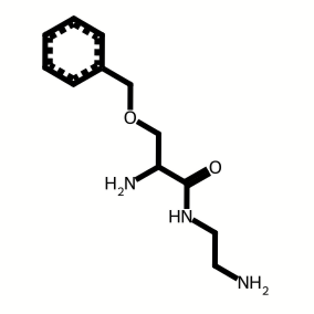 NCCNC(=O)C(N)COCc1ccccc1